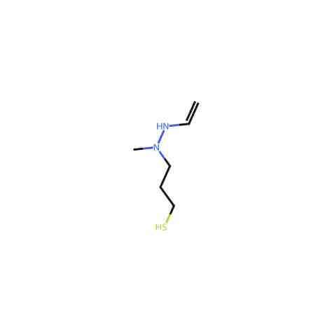 C=CNN(C)CCCS